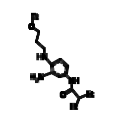 CCOCCCNc1ccc(NC(=O)C(CC)CC)cc1N